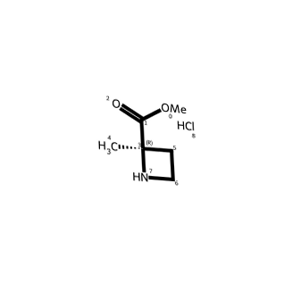 COC(=O)[C@@]1(C)CCN1.Cl